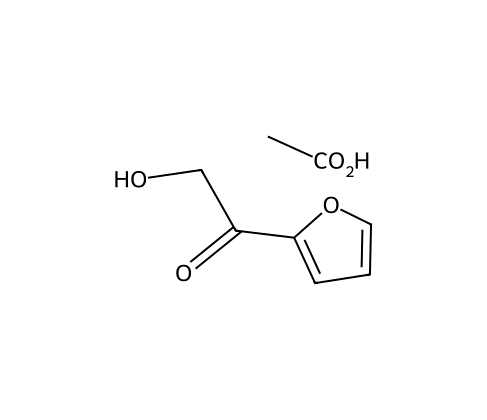 CC(=O)O.O=C(CO)c1ccco1